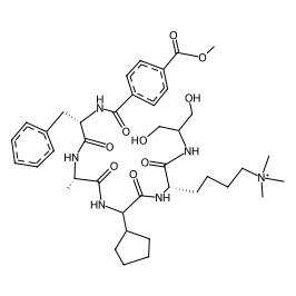 COC(=O)c1ccc(C(=O)N[C@@H](Cc2ccccc2)C(=O)N[C@@H](C)C(=O)NC(C(=O)N[C@@H](CCCC[N+](C)(C)C)C(=O)NC(CO)CO)C2CCCC2)cc1